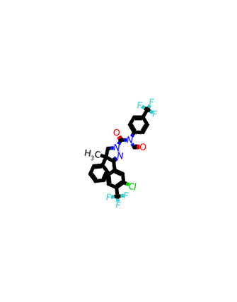 CC1(c2ccccc2)CN(C(=O)N(C=O)c2ccc(C(F)(F)F)cc2)N=C1c1ccc(C(F)(F)F)c(Cl)c1